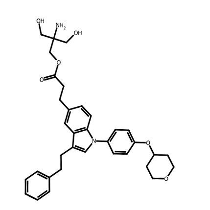 NC(CO)(CO)COC(=O)CCc1ccc2c(c1)c(CCc1ccccc1)cn2-c1ccc(OC2CCOCC2)cc1